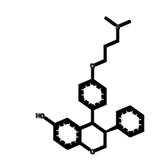 CN(C)CCCOc1ccc(C2c3cc(O)ccc3OC[C@@H]2c2ccccc2)cc1